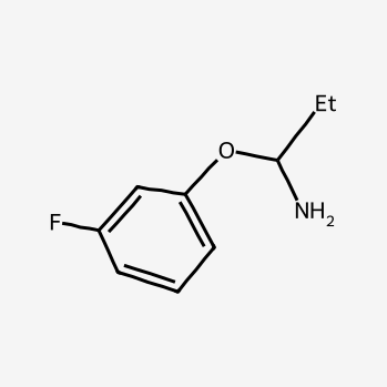 CCC(N)Oc1cccc(F)c1